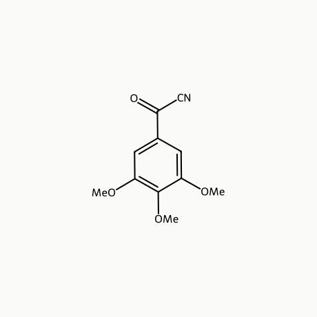 COc1cc(C(=O)C#N)cc(OC)c1OC